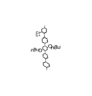 CCCCOc1cc(-c2ccc(-c3ccc(C)cc3CC)cc2)c(OCCCC)cc1-c1ccc(-c2ccc(C)cc2)cc1